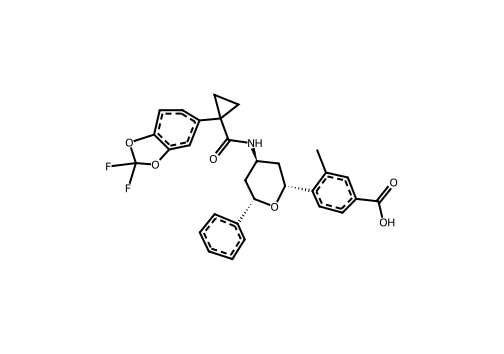 Cc1cc(C(=O)O)ccc1[C@H]1C[C@H](NC(=O)C2(c3ccc4c(c3)OC(F)(F)O4)CC2)C[C@@H](c2ccccc2)O1